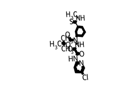 CNC(=S)[C@H]1CCCC(N(NC(=O)C(=O)Nc2ccc(Cl)cn2)C(=O)OC(C)(C)C)C1